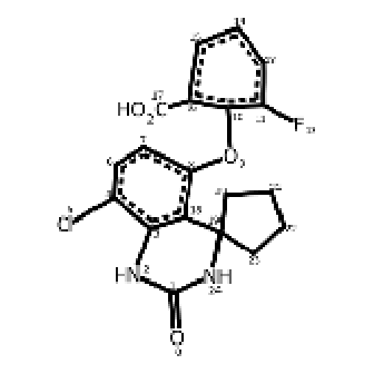 O=C1Nc2c(Cl)ccc(Oc3c(F)cccc3C(=O)O)c2C2(CCCC2)N1